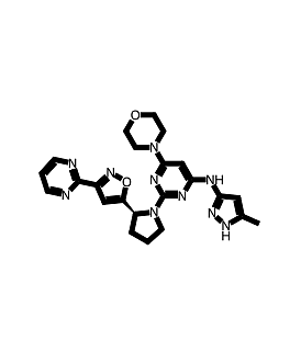 Cc1cc(Nc2cc(N3CCOCC3)nc(N3CCC[C@H]3c3cc(-c4ncccn4)no3)n2)n[nH]1